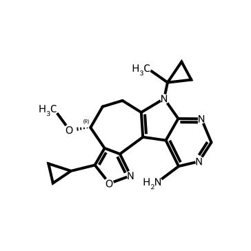 CO[C@@H]1CCc2c(c3c(N)ncnc3n2C2(C)CC2)-c2noc(C3CC3)c21